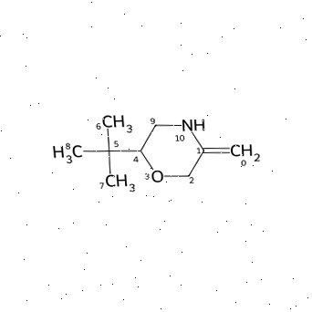 C=C1COC(C(C)(C)C)CN1